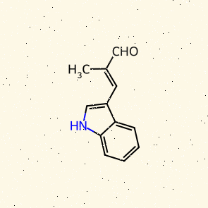 CC(C=O)=Cc1c[nH]c2ccccc12